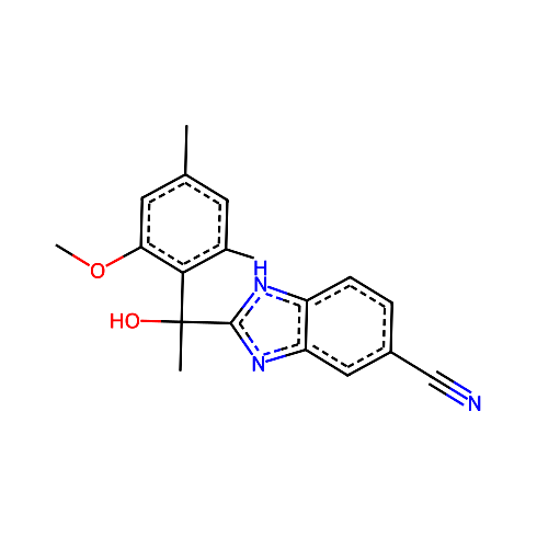 COc1cc(C)cc(C)c1C(C)(O)c1nc2cc(C#N)ccc2[nH]1